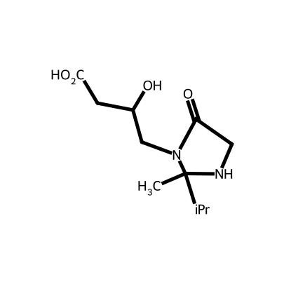 CC(C)C1(C)NCC(=O)N1CC(O)CC(=O)O